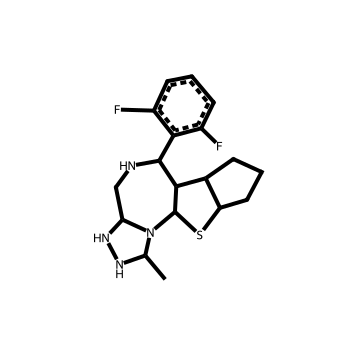 CC1NNC2CNC(c3c(F)cccc3F)C3C4CCCC4SC3N12